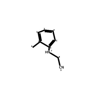 Cc1ccccc1NCC#N